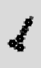 Brc1ccc(C2=NC3=NC(c4ccc(N5c6ccccc6Sc6ccccc65)cc4)=NC3=N2)cc1